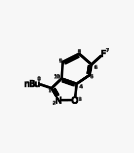 CCCCc1noc2cc(F)ccc12